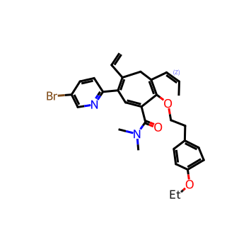 C=CC1=C(c2ccc(Br)cn2)C=C(C(=O)N(C)C)C(OCCc2ccc(OCC)cc2)=C(/C=C\C)C1